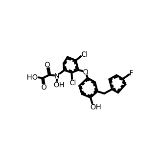 O=C(O)C(=O)N(O)c1ccc(Cl)c(Oc2ccc(O)c(Cc3ccc(F)cc3)c2)c1Cl